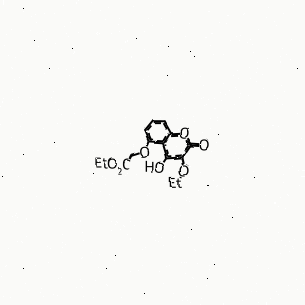 CCOC(=O)COc1cccc2oc(=O)c(OCC)c(O)c12